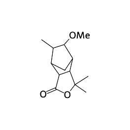 COC1C(C)C2CC1C1C2C(=O)OC1(C)C